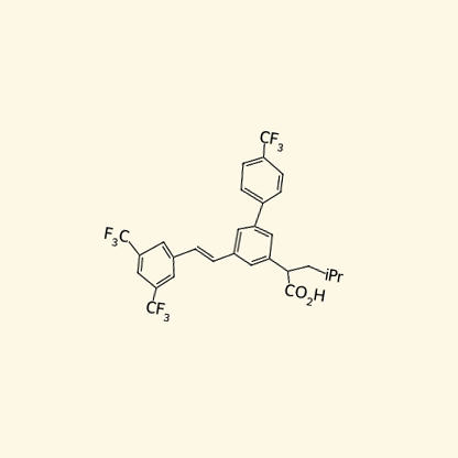 CC(C)CC(C(=O)O)c1cc(C=Cc2cc(C(F)(F)F)cc(C(F)(F)F)c2)cc(-c2ccc(C(F)(F)F)cc2)c1